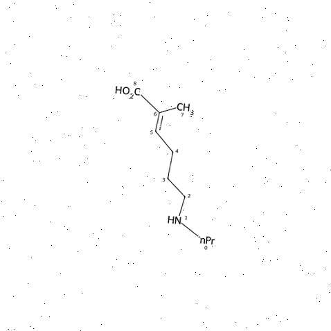 CCCNCCCC=C(C)C(=O)O